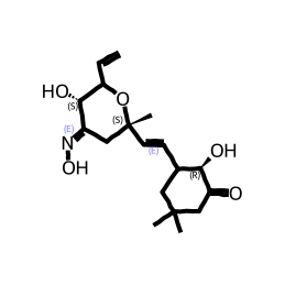 C=CC1O[C@](C)(/C=C/C2CC(C)(C)CC(=O)[C@@H]2O)C/C(=N\O)[C@@H]1O